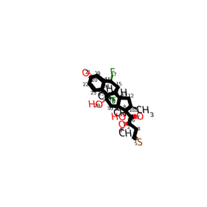 COC(CC=S)C(=O)[C@@]1(O)[C@H](C)C[C@H]2[C@@H]3C[C@H](F)C4=CC(=O)C=C[C@]4(C)[C@@]3(F)[C@@H](O)C[C@@]21C